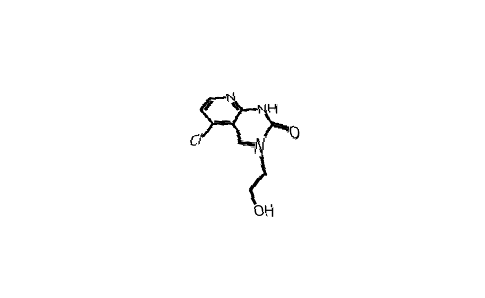 O=C1Nc2nccc(Cl)c2CN1CCO